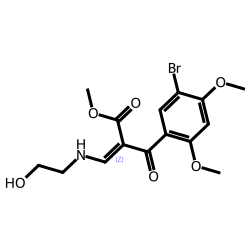 COC(=O)/C(=C\NCCO)C(=O)c1cc(Br)c(OC)cc1OC